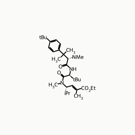 CCOC(=O)/C(C)=C/[C@H](C(C)C)N(C)C(=O)[C@@H](NC(=O)[C@@H](NC)C(C)(C)c1ccc(C(C)(C)C)cc1)C(C)(C)C